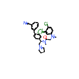 CN(CC(=O)N(C)C(CN1CCCC1)c1ccc(-c2cccc(C#N)c2)cc1)c1ccc(Cl)c(Cl)c1